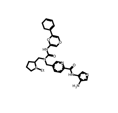 CCN1CCCC1CN(Cc1ccc(C(=O)Nc2cscc2N)nc1)C(=O)NC1=COC=C(C2=CC=CCC2)O1